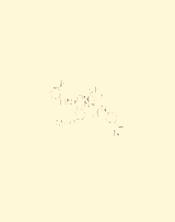 COc1ccc(-n2nc(C(F)(F)F)c3c2C(=O)N(c2ccc(C(=O)N(C)C)cc2)CC3)c(C(=O)NCc2ccccc2F)c1